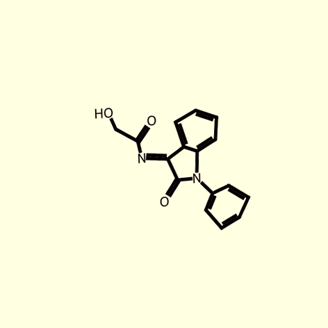 O=C(CO)/N=C1/C(=O)N(c2ccccc2)c2ccccc21